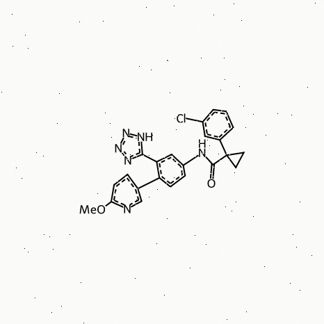 COc1ccc(-c2ccc(NC(=O)C3(c4cccc(Cl)c4)CC3)cc2-c2nnn[nH]2)cn1